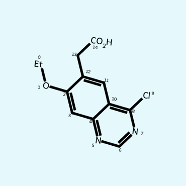 CCOc1cc2ncnc(Cl)c2cc1CC(=O)O